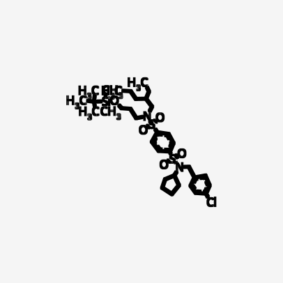 CCCC(CC)CN(CCCO[Si](C)(C)C(C)(C)C)S(=O)(=O)c1ccc(S(=O)(=O)N(Cc2ccc(Cl)cc2)C2CCCC2)cc1